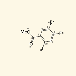 COC(=O)c1cc(Br)c(F)cc1I